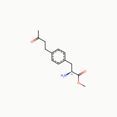 COC(=O)[C@@H](N)Cc1ccc(CCC(C)=O)cc1